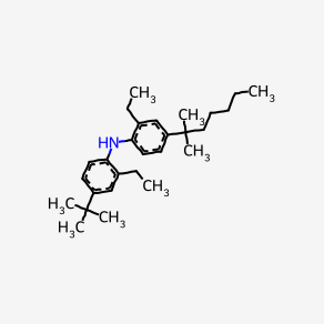 CCCCCC(C)(C)c1ccc(Nc2ccc(C(C)(C)C)cc2CC)c(CC)c1